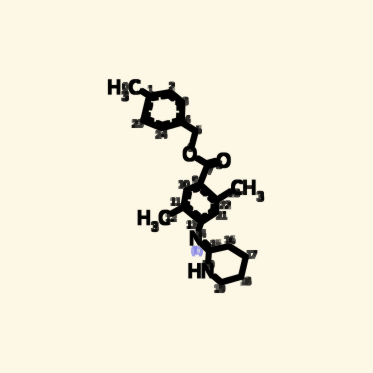 Cc1ccc(COC(=O)c2cc(C)c(/N=C3\CCCCN3)cc2C)cc1